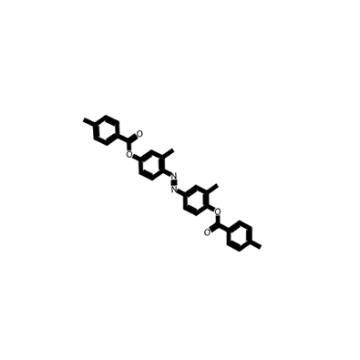 Cc1ccc(C(=O)Oc2ccc(/N=N/c3ccc(OC(=O)c4ccc(C)cc4)c(C)c3)c(C)c2)cc1